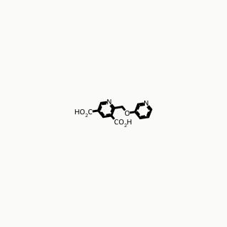 O=C(O)c1cnc(COc2cccnc2)c(C(=O)O)c1